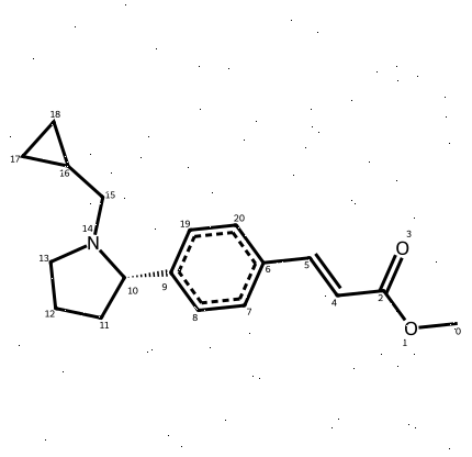 COC(=O)/C=C/c1ccc([C@@H]2CCCN2CC2CC2)cc1